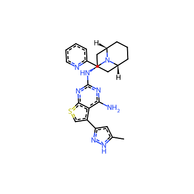 Cc1cc(-c2csc3nc(N[C@@H]4C[C@H]5CCC[C@@H](C4)N5Cc4ccccn4)nc(N)c23)n[nH]1